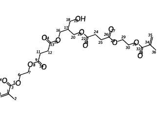 C=C(C)C(=O)OCCOC(=O)CCC(=O)OCC(CO)COC(=O)CCC(=O)OCCOC(=O)C(=C)C